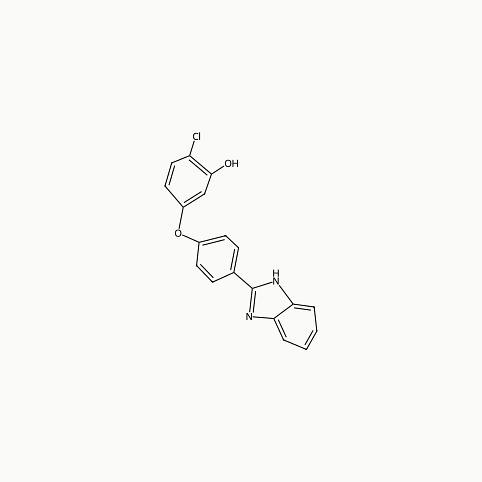 Oc1cc(Oc2ccc(-c3nc4ccccc4[nH]3)cc2)ccc1Cl